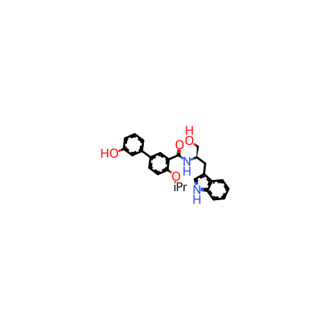 CC(C)Oc1ccc(-c2cccc(O)c2)cc1C(=O)N[C@@H](CO)Cc1c[nH]c2ccccc12